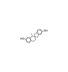 CC1c2cc(O)ccc2CCC12Cc1ccc(O)cc1C2